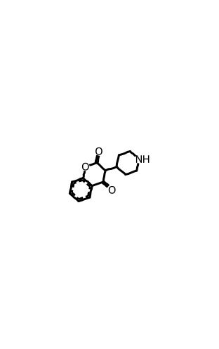 O=C1Oc2ccccc2C(=O)C1C1CCNCC1